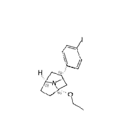 CCO[C@@]12CC[C@@H](C[C@H](c3ccc(I)cc3)C1)N2C